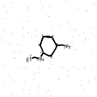 CCNC1CCCC(C(C)C)C1